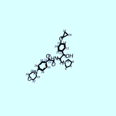 O=C(NC(CN1CCCC1)C(O)c1ccc(OC2CC2)cc1)C(=O)c1ccc(N2CCOCC2)cc1